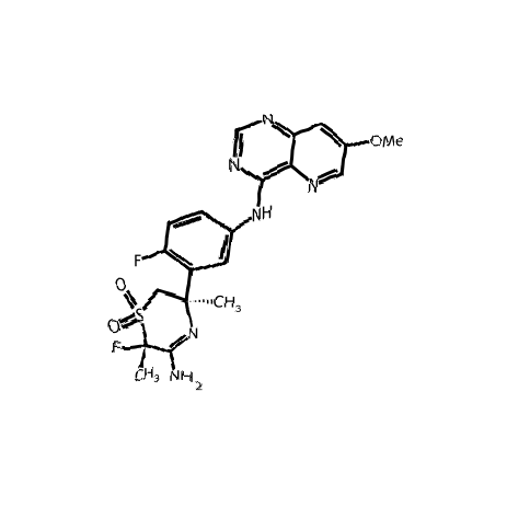 COc1cnc2c(Nc3ccc(F)c([C@]4(C)CS(=O)(=O)[C@@](C)(F)C(N)=N4)c3)ncnc2c1